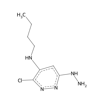 CCCCNc1cc(NN)nnc1Cl